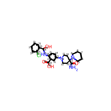 NC(=O)C1(N2CCCCC2)CCN(c2ccc(NC(O)c3ccccc3Cl)c(C(=O)O)c2)CC1